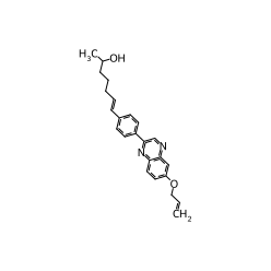 C=CCOc1ccc2nc(-c3ccc(C=CCCCC(C)O)cc3)cnc2c1